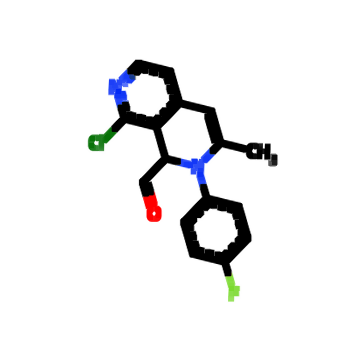 CC1=Cc2ccnc(Cl)c2C(C=O)N1c1ccc(F)cc1